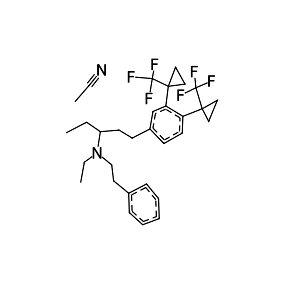 CC#N.CCC(CCc1ccc(C2(C(F)(F)F)CC2)c(C2(C(F)(F)F)CC2)c1)N(CC)CCc1ccccc1